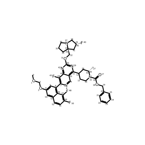 COCOc1cc(-c2ncc3c(C4CCN(C(=O)OCc5ccccc5)[C@@H](C)C4)nc(OC[C@@]45CCCN4C[C@H](F)C5)nc3c2F)c2c(F)c(F)ccc2c1